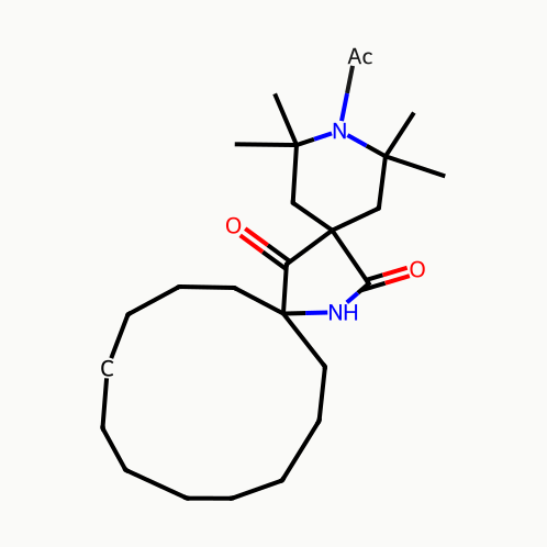 CC(=O)N1C(C)(C)CC2(CC1(C)C)C(=O)NC1(CCCCCCCCCCC1)C2=O